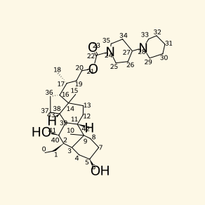 CC[C@@H]1C2C[C@H](O)CCC2(C)[C@H]2CCC3(C)[C@@H]([C@H](C)CCOC(=O)N4CCC(N5CCCCC5)CC4)CC[C@H]3C2[C@@H]1O